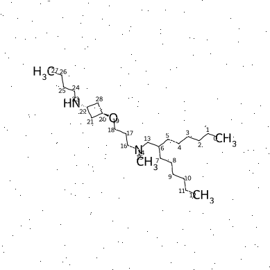 CCCCCCC(CCCCCC)CN(C)CCCO[C@H]1C[C@H](NCCCC)C1